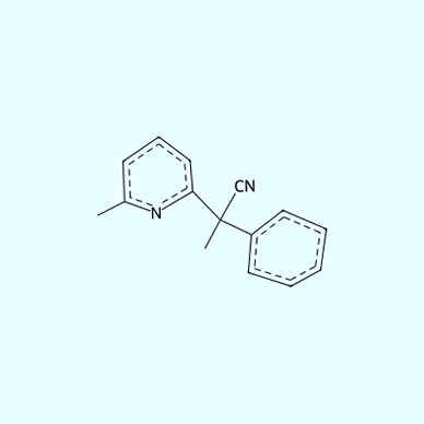 Cc1cccc(C(C)(C#N)c2ccccc2)n1